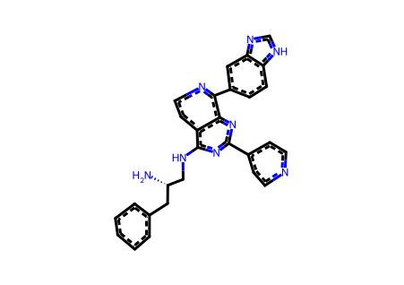 N[C@H](CNc1nc(-c2ccncc2)nc2c(-c3ccc4[nH]cnc4c3)nccc12)Cc1ccccc1